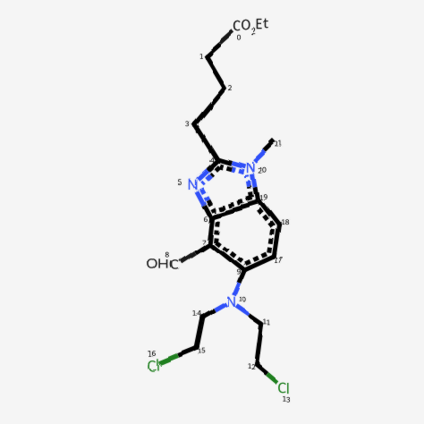 CCOC(=O)CCCc1nc2c(C=O)c(N(CCCl)CCCl)ccc2n1C